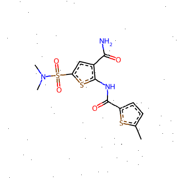 Cc1ccc(C(=O)Nc2sc(S(=O)(=O)N(C)C)cc2C(N)=O)s1